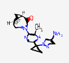 Cc1nc(C2(n3cc(N)cn3)CC2)cnc1N1C[C@H]2C[C@H]2C1=O